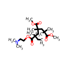 CCC(C)(CC(C)(CC(C)(C)C(=O)OC)C(=O)OC)C(=O)OCCN(C)C